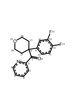 O=C(c1ccccn1)C1(c2ccc(F)c(F)c2)CCOCC1